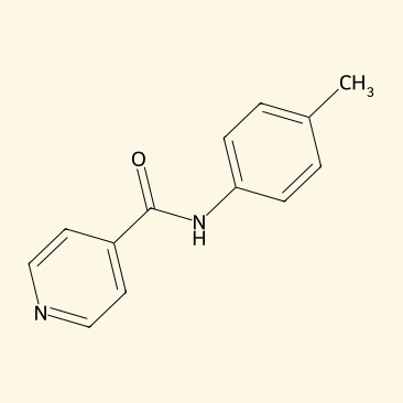 Cc1ccc(NC(=O)c2ccncc2)cc1